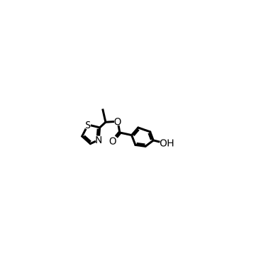 CC(OC(=O)c1ccc(O)cc1)c1nccs1